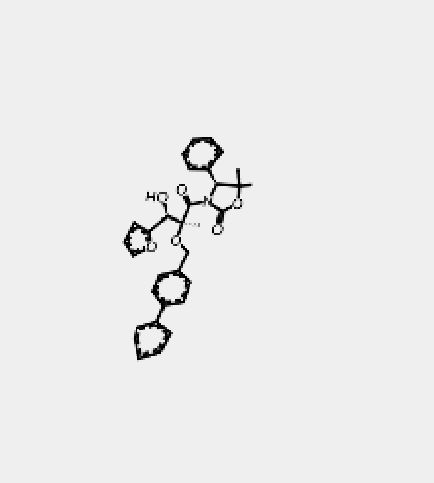 CC1(C)OC(=O)N(C(=O)[C@@](C)(OCc2ccc(-c3ccccc3)cc2)[C@H](O)c2ccco2)[C@H]1c1ccccc1